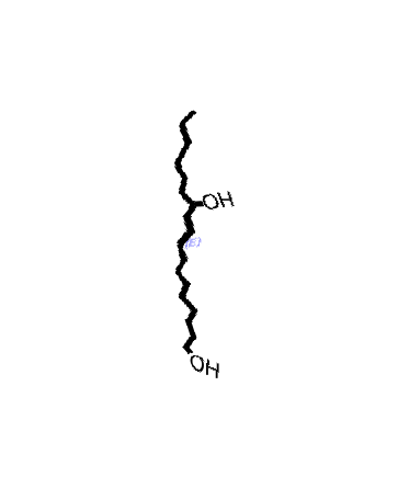 CCCCCCC(O)C/C=C/CCCCCCCCO